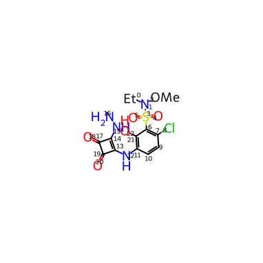 CCN(OC)S(=O)(=O)c1c(Cl)ccc(Nc2c(NN)c(=O)c2=O)c1O